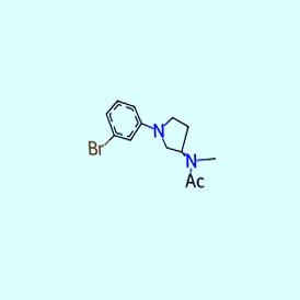 CC(=O)N(C)[C@@H]1CCN(c2cccc(Br)c2)C1